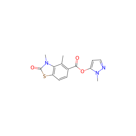 Cc1c(C(=O)Oc2ccnn2C)ccc2sc(=O)n(C)c12